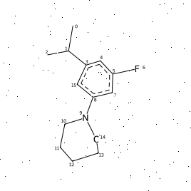 CC(C)c1cc(F)cc(N2CCCCC2)c1